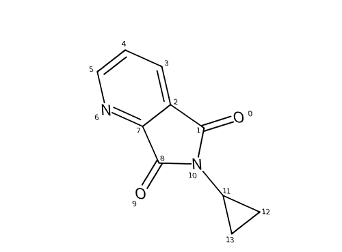 O=C1c2cccnc2C(=O)N1C1CC1